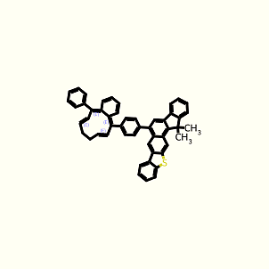 CC1(C)c2ccccc2-c2cc(-c3ccc(C4=c5\cccc\c5=C(c5ccccc5)\C=C\CC\C=C\4)cc3)c3cc4c(cc3c21)sc1ccccc14